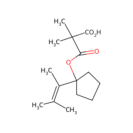 CC(C)=C(C)C1(OC(=O)C(C)(C)C(=O)O)CCCC1